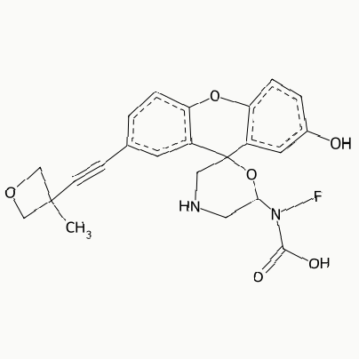 CC1(C#Cc2ccc3c(c2)C2(CNCC(N(F)C(=O)O)O2)c2cc(O)ccc2O3)COC1